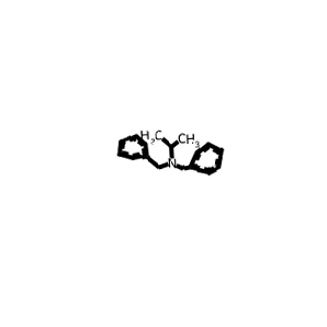 CC(C)N(Cc1ccccc1)Cc1ccccc1